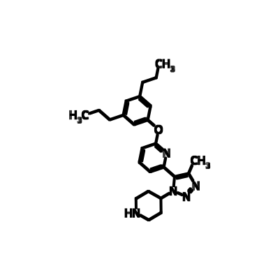 CCCc1cc(CCC)cc(Oc2cccc(-c3c(C)nnn3C3CCNCC3)n2)c1